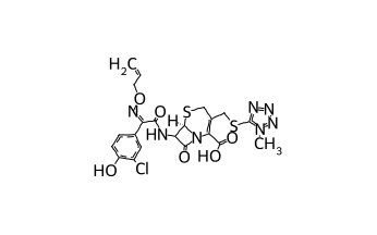 C=CCO/N=C(\C(=O)NC1C(=O)N2C(C(=O)O)=C(CSc3nnnn3C)CS[C@H]12)c1ccc(O)c(Cl)c1